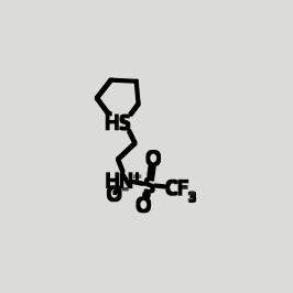 O=S(=O)([NH+]([O-])CC[SH]1CCCCC1)C(F)(F)F